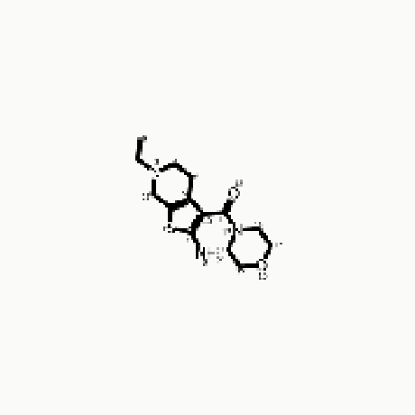 CCN1CCc2c(sc(N)c2C(=O)N2CCOCC2)C1